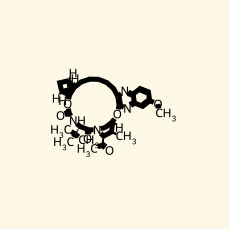 COc1ccc2nc3c(nc2c1)O[C@H]1CN(C(=O)[C@H](C(C)(C)C)NC(=O)O[C@@H]2[C@H]4C[C@H](C4)[C@H]2CCCCC3)[C@H](C(C)=O)[C@@H]1C